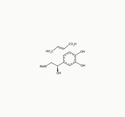 CNC[C@H](O)c1ccc(O)c(O)c1.O=C(O)/C=C/C(=O)O